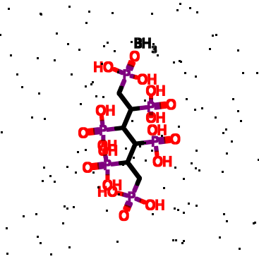 B.O=P(O)(O)CC(C(C(C(CP(=O)(O)O)P(=O)(O)O)P(=O)(O)O)P(=O)(O)O)P(=O)(O)O